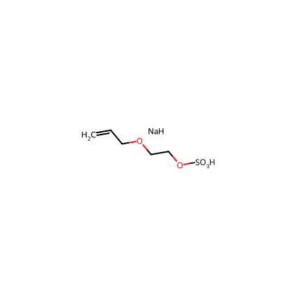 C=CCOCCOS(=O)(=O)O.[NaH]